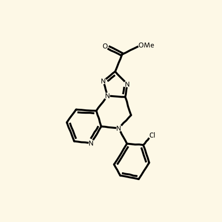 COC(=O)c1nc2n(n1)-c1cccnc1N(c1ccccc1Cl)C2